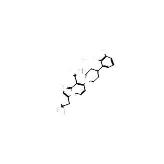 C#Cc1c(N2CCC(c3cccc(F)c3C)CC2)ccn2c(CC(F)(F)F)cnc12